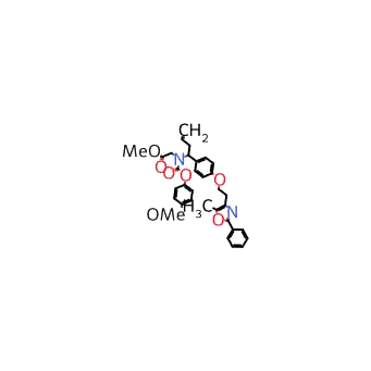 C=CCC(c1ccc(OCCc2nc(-c3ccccc3)oc2C)cc1)N(CC(=O)OC)C(=O)Oc1ccc(OC)cc1